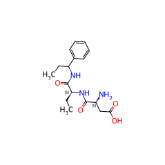 CCC(NC(=O)[C@H](CC)NC(=O)[C@@H](N)CC(=O)O)c1ccccc1